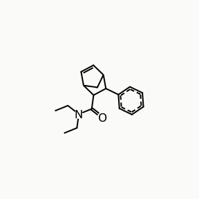 CCN(CC)C(=O)C1C2C=CC(C2)C1c1ccccc1